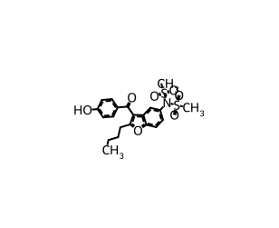 CCCCc1oc2ccc(N(S(C)(=O)=O)S(C)(=O)=O)cc2c1C(=O)c1ccc(O)cc1